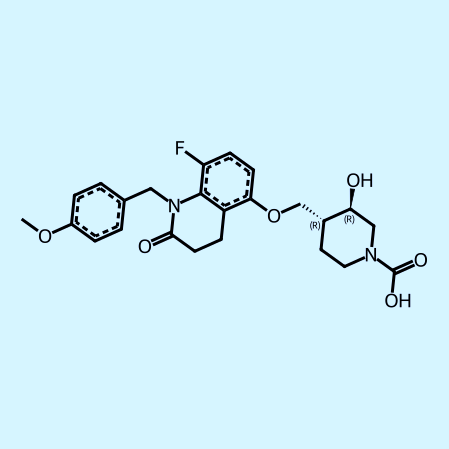 COc1ccc(CN2C(=O)CCc3c(OC[C@H]4CCN(C(=O)O)C[C@@H]4O)ccc(F)c32)cc1